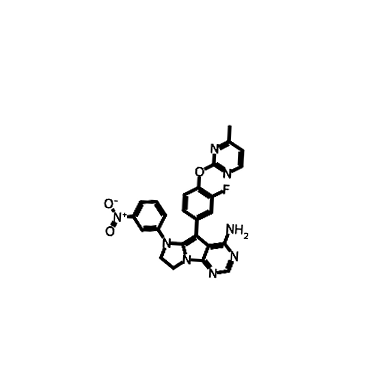 Cc1ccnc(Oc2ccc(-c3c4n(c5ncnc(N)c35)CCN4c3cccc([N+](=O)[O-])c3)cc2F)n1